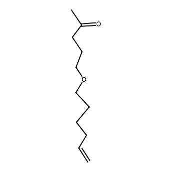 C=CCCCCOCCCC(C)=O